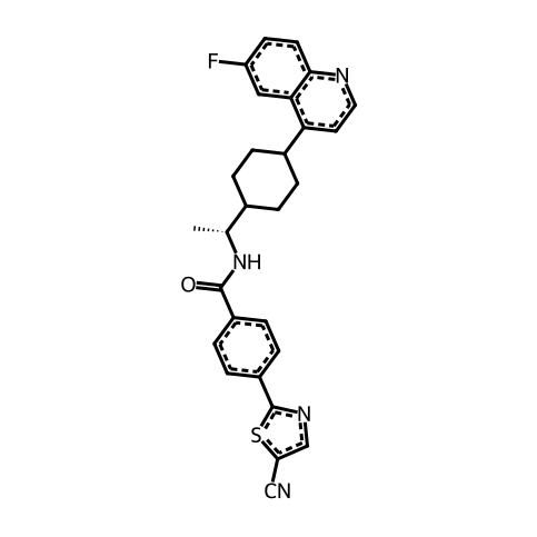 C[C@@H](NC(=O)c1ccc(-c2ncc(C#N)s2)cc1)C1CCC(c2ccnc3ccc(F)cc23)CC1